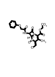 CC1=C(C(=O)OCC(Cl)(Cl)Cl)N2C(=O)C(NC(=O)COc3ccccc3)[C@@H]2[S+]([O-])C1=CCl